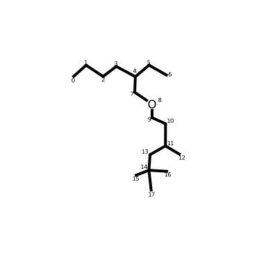 CCCCC(CC)COCCC(C)CC(C)(C)C